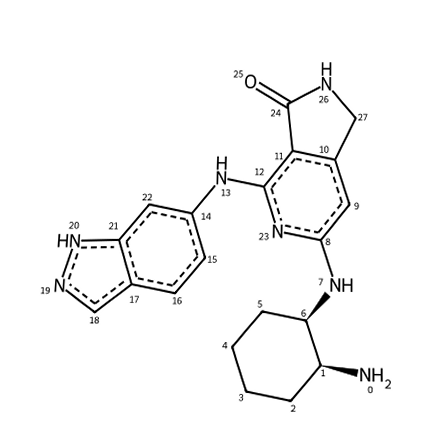 N[C@H]1CCCC[C@H]1Nc1cc2c(c(Nc3ccc4cn[nH]c4c3)n1)C(=O)NC2